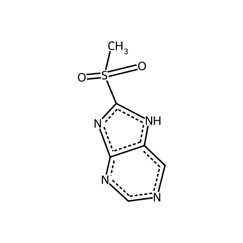 CS(=O)(=O)c1nc2ncncc2[nH]1